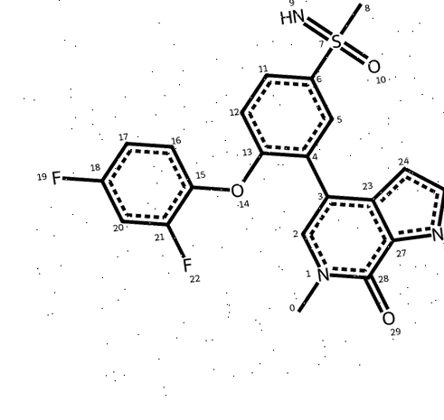 Cn1cc(-c2cc(S(C)(=N)=O)ccc2Oc2ccc(F)cc2F)c2cc[nH]c2c1=O